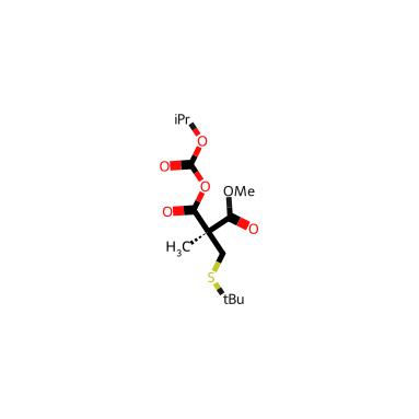 COC(=O)[C@@](C)(CSC(C)(C)C)C(=O)OC(=O)OC(C)C